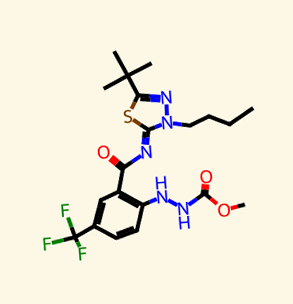 CCCCn1nc(C(C)(C)C)sc1=NC(=O)c1cc(C(F)(F)F)ccc1NNC(=O)OC